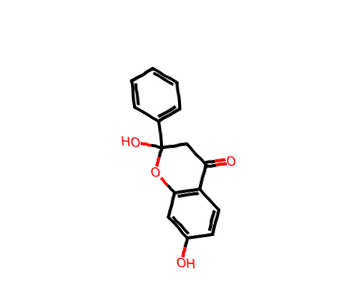 O=C1CC(O)(c2ccccc2)Oc2cc(O)ccc21